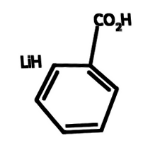 O=C(O)c1ccccc1.[LiH]